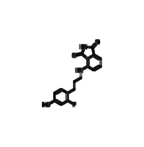 O=C1NC(=O)c2c(NCCCc3ccc(O)cc3F)cccc21